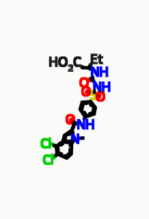 CCC(CC(=O)O)NC(=O)NS(=O)(=O)c1ccc(NC(=O)c2cc3c(Cl)c(Cl)ccc3n2C)cc1